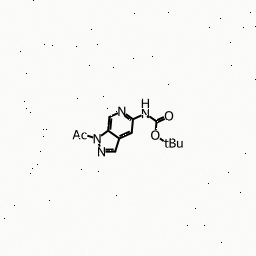 CC(=O)n1ncc2cc(NC(=O)OC(C)(C)C)ncc21